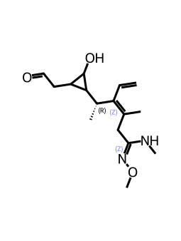 C=C/C(=C(\C)C/C(=N/OC)NC)[C@H](C)C1C(O)C1CC=O